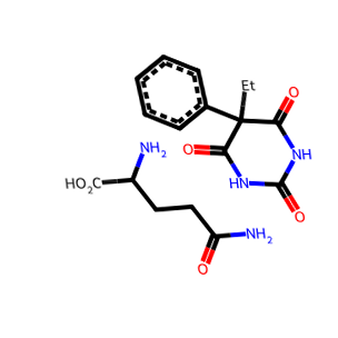 CCC1(c2ccccc2)C(=O)NC(=O)NC1=O.NC(=O)CCC(N)C(=O)O